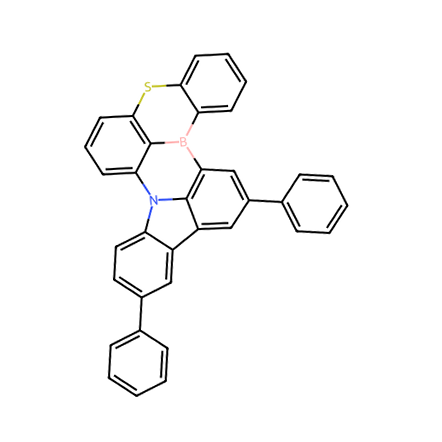 c1ccc(-c2ccc3c(c2)c2cc(-c4ccccc4)cc4c2n3-c2cccc3c2B4c2ccccc2S3)cc1